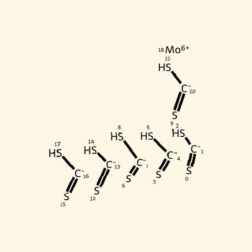 S=[C-]S.S=[C-]S.S=[C-]S.S=[C-]S.S=[C-]S.S=[C-]S.[Mo+6]